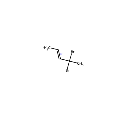 [CH2]/C=C/C(C)(Br)Br